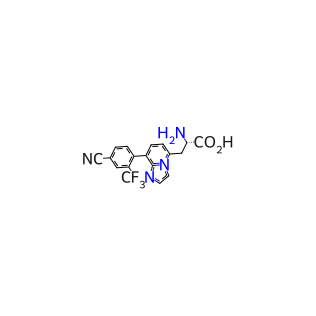 N#Cc1ccc(-c2ccc(C[C@H](N)C(=O)O)n3ccnc23)c(C(F)(F)F)c1